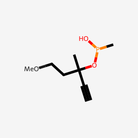 C#CC(C)(CCOC)OP(C)O